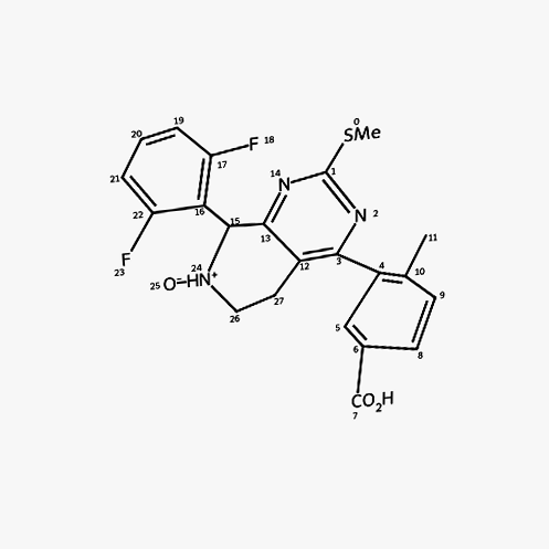 CSc1nc(-c2cc(C(=O)O)ccc2C)c2c(n1)C(c1c(F)cccc1F)[NH+]([O-])CC2